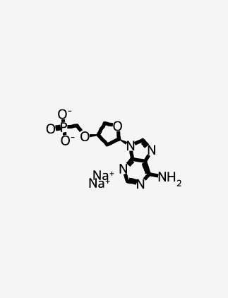 Nc1ncnc2c1ncn2[C@H]1C[C@@H](OCP(=O)([O-])[O-])CO1.[Na+].[Na+]